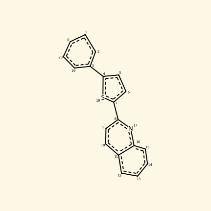 c1ccc(-c2ccc(-c3ccc4ccccc4n3)s2)cc1